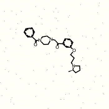 C[C@@H]1CCCN1CCCOc1cccc(C(=O)CN2CCN(C(=O)c3ccccc3)CC2)c1